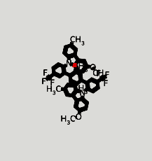 COc1ccc2c(c1)c1cc(C)ccc1n2-c1ccc(C(F)(F)F)cc1-c1cc(C)c(-c2cc(C(F)(F)F)ccc2-n2c3ccc(C)cc3c3cc(OC)ccc32)cc1C